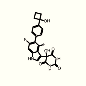 O=C1NC(=O)C(O)(c2c[nH]c3cc(F)c(-c4ccc(C5(O)CCC5)cc4)c(F)c23)C(=O)N1